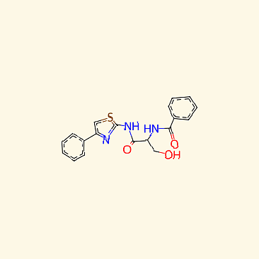 O=C(NC(CO)C(=O)Nc1nc(-c2ccccc2)cs1)c1ccccc1